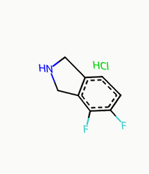 Cl.Fc1ccc2c(c1F)CNC2